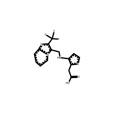 O=C(O)Cc1sccc1NCc1c(C(F)(F)F)nc2ccccn12